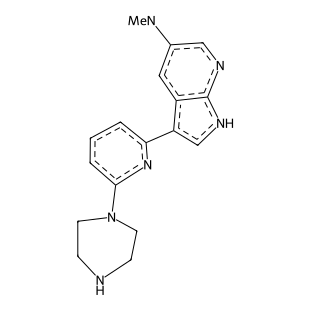 CNc1cnc2[nH]cc(-c3cccc(N4CCNCC4)n3)c2c1